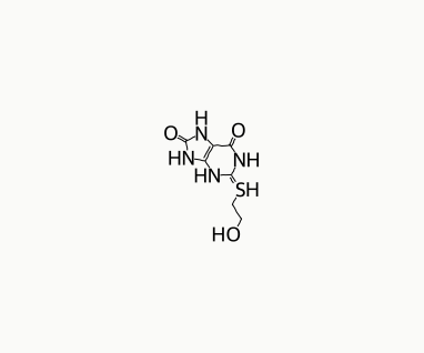 O=c1[nH]c2[nH]c(=[SH]CCO)[nH]c(=O)c2[nH]1